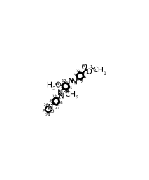 CCOC(=O)c1ccc(/N=N/c2cc(C)c(/N=N/c3ccc(N4CCCC4)cc3)c(C)c2)cc1